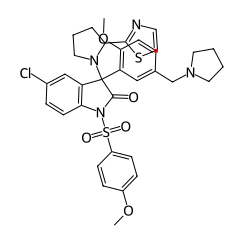 COc1ccc(S(=O)(=O)N2C(=O)C(c3cc(CN4CCCC4)ccc3OC)(N3CCCC3c3nccs3)c3cc(Cl)ccc32)cc1